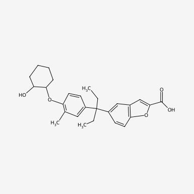 CCC(CC)(c1ccc(OC2CCCCC2O)c(C)c1)c1ccc2oc(C(=O)O)cc2c1